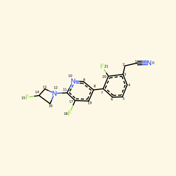 N#CCc1cccc(-c2cnc(N3CC(F)C3)c(F)c2)c1F